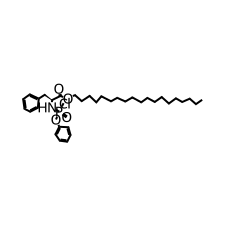 CCCCCCCCCCCCCCCCCCCOC(=O)[C@H](Cc1ccccc1)NP(=O)(Cl)Oc1ccccc1